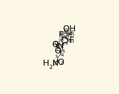 NC(=O)CCC1CN(c2cc(F)c(C3(CO)CC3)c(F)c2)C(=O)O1